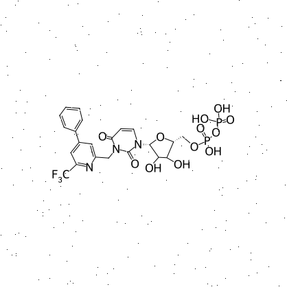 O=c1ccn([C@@H]2O[C@H](COP(=O)(O)OP(=O)(O)O)C(O)C2O)c(=O)n1Cc1cc(-c2ccccc2)cc(C(F)(F)F)n1